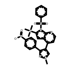 Cn1cc(-c2ccnc3c2cc([Si](C)(C)C)n3S(=O)(=O)c2ccccc2)c(-c2ccc([N+](=O)[O-])cc2)n1